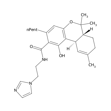 CCCCCc1cc2c(c(O)c1C(=O)NCCn1ccnc1)[C@@H]1C=C(C)CC[C@H]1C(C)(C)O2